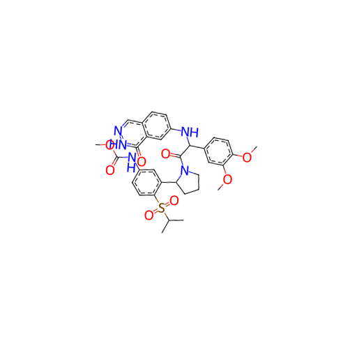 COC(=O)Nc1ccc(S(=O)(=O)C(C)C)c(C2CCCN2C(=O)C(Nc2ccc3cn[nH]c(=O)c3c2)c2ccc(OC)c(OC)c2)c1